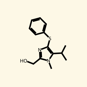 CC(C)c1c(Sc2ccccc2)nc(CO)n1C